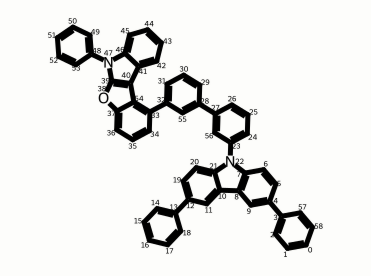 c1ccc(-c2ccc3c(c2)c2cc(-c4ccccc4)ccc2n3-c2cccc(-c3cccc(-c4cccc5oc6c(c7ccccc7n6-c6ccccc6)c45)c3)c2)cc1